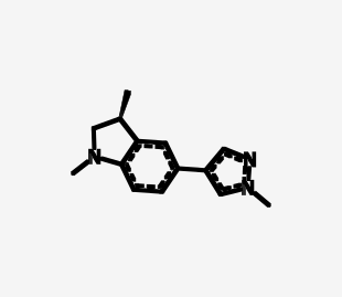 C[C@@H]1CN(C)c2ccc(-c3cnn(C)c3)cc21